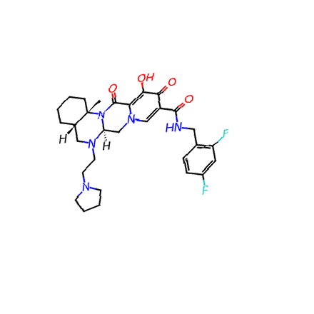 C[C@]12CCCC[C@H]1CN(CCN1CCCC1)[C@@H]1Cn3cc(C(=O)NCc4ccc(F)cc4F)c(=O)c(O)c3C(=O)N12